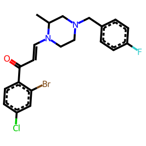 CC1CN(Cc2ccc(F)cc2)CCN1/C=C/C(=O)c1ccc(Cl)cc1Br